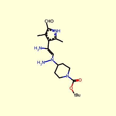 Cc1[nH]c(C=O)c(C)c1/C(N)=C/N(N)C1CCN(C(=O)OC(C)(C)C)CC1